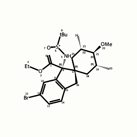 C=C(OCC)[C@]1(N[S+]([O-])C(C)(C)C)c2cc(Br)ccc2C[C@@]12C[C@@H](C)[C@H](OC)[C@@H](C)C2